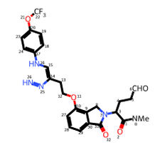 CNC(=O)C(CCC=O)N1Cc2c(OCC/C(=C/Nc3ccc(OC(F)(F)F)cc3)N=N)cccc2C1=O